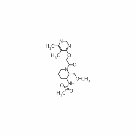 COC[C@H]1[C@@H](NS(C)(=O)=O)CCCN1C(=O)COc1ncnc(C)c1C